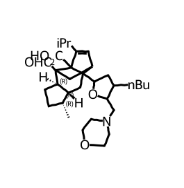 CCCCC1CC(C23C[C@@H]4[C@H](C)CC[C@H]4C4(C=O)CC2C=C(C(C)C)C34C(=O)O)OC1CN1CCOCC1